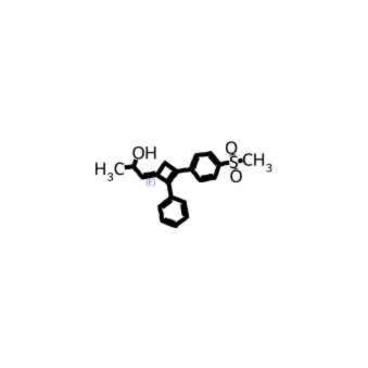 CC(O)/C=C1\CC(c2ccc(S(C)(=O)=O)cc2)=C1c1ccccc1